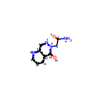 NC(=O)Cn1ncc2ncccc2c1=O